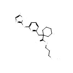 O=CCCCNC(=O)C1(Cc2cccc(Nc3nccs3)n2)CCCCC1